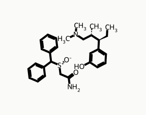 CC[C@@H](c1cccc(O)c1)[C@@H](C)CN(C)C.NC(=O)C[S+]([O-])C(c1ccccc1)c1ccccc1